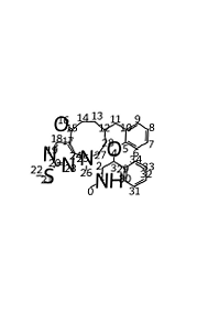 CNCC(Oc1ccccc1CC1CCC(=O)c2cnc(SC)nc2N(C)CC1)c1ccccc1